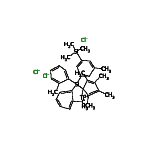 CC1=C(C)[C]([Ti+3])([Si](c2cc(C)cc([Si](C)(C)C)c2)(c2ccccc2C)c2ccccc2C)C(C)=C1C.[Cl-].[Cl-].[Cl-]